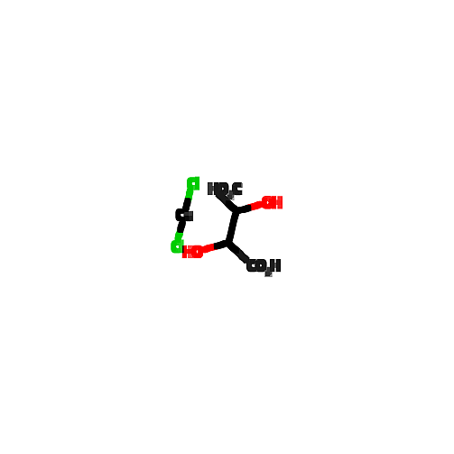 O=C(O)C(O)C(O)C(=O)O.[Cl][Cu][Cl]